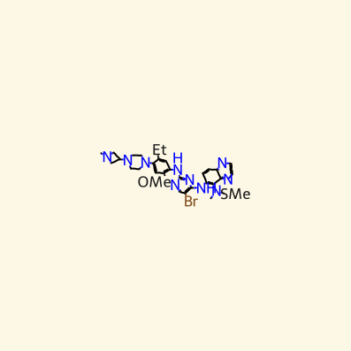 CCc1cc(Nc2ncc(Br)c(Nc3ccc4nccnc4c3N(C)SC)n2)c(OC)cc1N1CCN(C2CN(C)C2)CC1